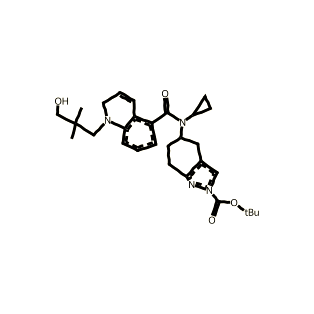 CC(C)(CO)CN1CC=Cc2c(C(=O)N(C3CC3)C3CCc4nn(C(=O)OC(C)(C)C)cc4C3)cccc21